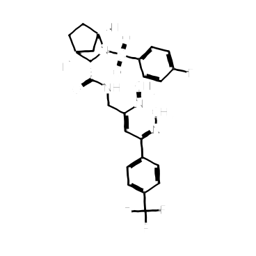 C=N/C(=C\C(=N/C)c1ccc(C(F)(F)F)cc1)CNC(=O)[C@@H]1[C@H]2CC[C@H](C2)N1S(=O)(=O)c1ccc(F)cc1